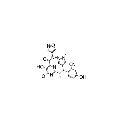 C[C@H](c1nc(C(=O)Nc2cnoc2)c(O)c(=O)n1C)[C@@H](c1cnn(C)c1)c1ccc(O)cc1C#N